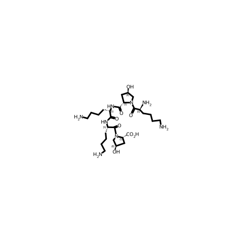 NCCCC[C@H](NC(=O)[C@@H]1C[C@@H](O)CN1C(=O)[C@@H](N)CCCCN)C(=O)N[C@@H](CCCCN)C(=O)N1C[C@H](O)C[C@H]1C(=O)O